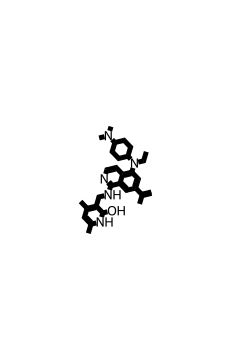 C=C(C)c1cc(N(CC)C2CCC(N(C)C)CC2)c2ccnc(NCC3=C(C)C=C(C)NC3O)c2c1